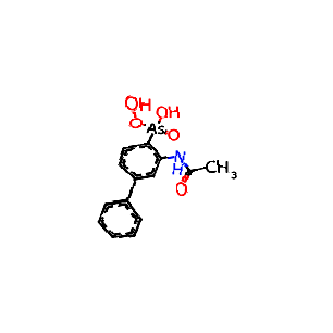 CC(=O)Nc1cc(-c2ccccc2)ccc1[As](=O)(O)OO